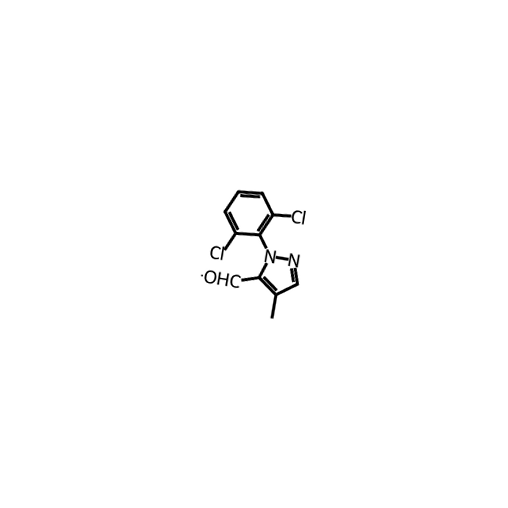 Cc1cnn(-c2c(Cl)cccc2Cl)c1[C]=O